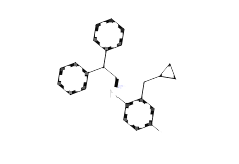 FC(F)(F)c1ccc(/N=C/C(c2ccccc2)c2ccccc2)c(CC2CC2)c1